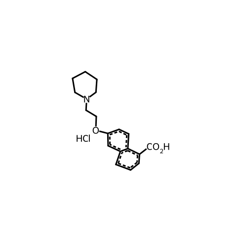 Cl.O=C(O)c1cccc2cc(OCCN3CCCCC3)ccc12